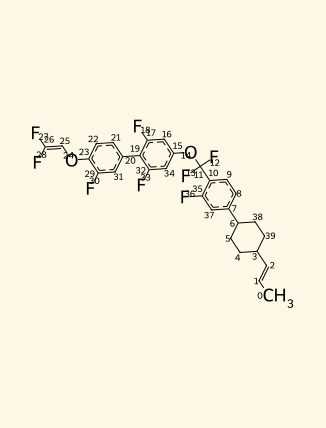 C/C=C/C1CCC(c2ccc(C(F)(F)Oc3cc(F)c(-c4ccc(OC=C(F)F)c(F)c4)c(F)c3)c(F)c2)CC1